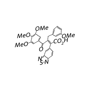 COc1cccc(CC(C(=O)c2cc(OC)c(OC)c(OC)c2)=C(C(=O)O)c2ccc3nsnc3c2)c1